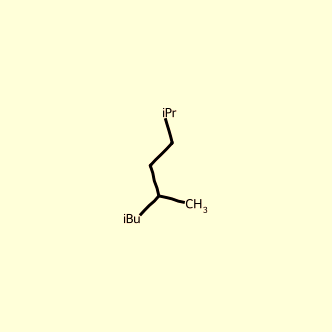 CCC(C)C(C)CCC(C)C